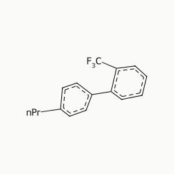 [CH2]CCc1ccc(-c2ccccc2C(F)(F)F)cc1